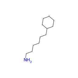 NCCCCCCC1CC[CH]CC1